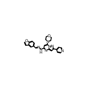 C(=N\Nc1cc(N2CCOCC2)n2nc(-c3ccncc3)cc2n1)/c1ccc2occc2c1